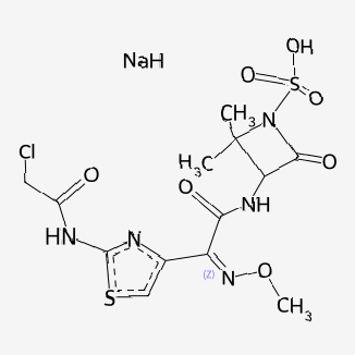 CO/N=C(\C(=O)NC1C(=O)N(S(=O)(=O)O)C1(C)C)c1csc(NC(=O)CCl)n1.[NaH]